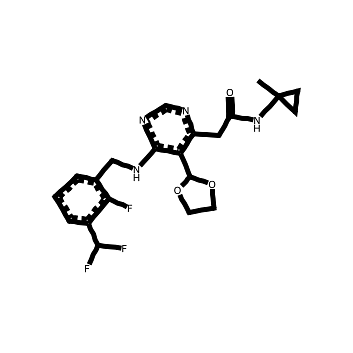 CC1(NC(=O)Cc2ncnc(NCc3cccc(C(F)F)c3F)c2C2OCCO2)CC1